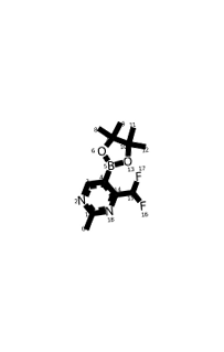 Cc1ncc(B2OC(C)(C)C(C)(C)O2)c(C(F)F)n1